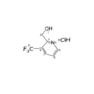 Cl.OCc1ncccc1C(F)(F)F